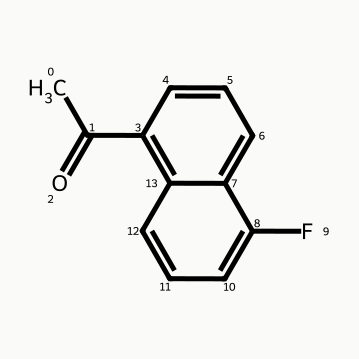 CC(=O)c1cccc2c(F)cccc12